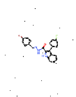 O=C(NN=Cc1ccc(Br)cc1)c1[nH]c2ccccc2c1-c1ccc(F)cc1